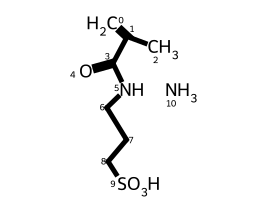 C=C(C)C(=O)NCCCS(=O)(=O)O.N